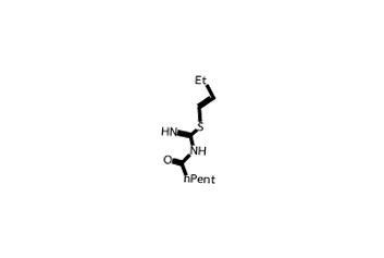 CC/C=C/SC(=N)NC(=O)CCCCC